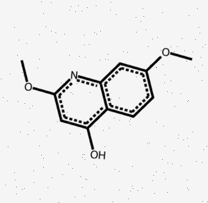 COc1ccc2c(O)cc(OC)nc2c1